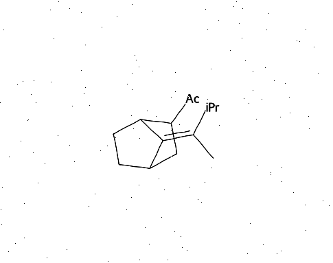 CC(=O)C1CC2CCC1C2=C(C)C(C)C